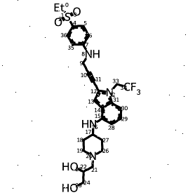 CCS(=O)(=O)c1ccc(NCC#Cc2cc3c(NC4CCN(CC(O)CO)CC4)cccc3n2CC(F)(F)F)cc1